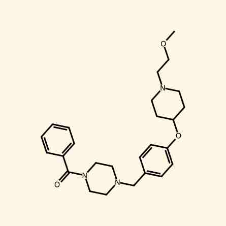 COCCN1CCC(Oc2ccc(CN3CCN(C(=O)c4ccccc4)CC3)cc2)CC1